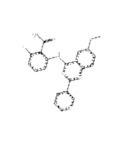 COc1ccc2nc(-c3cccnc3)nc(Nc3cccc(F)c3C(N)=O)c2c1